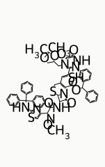 CON=C(C(=O)NC1C(=O)N2C(C(=O)OC(c3ccccc3)c3ccccc3)=C(C=C(S)c3n[nH]c(=O)c(=O)n3CC3COC(C)(C)O3)CSC12)c1csc(NC(c2ccccc2)(c2ccccc2)c2ccccc2)n1